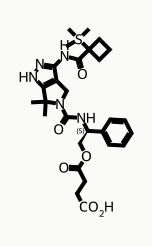 CC1(C)c2[nH]nc(NC(=O)C3(S(C)(C)C)CCC3)c2CN1C(=O)N[C@H](COC(=O)CCC(=O)O)c1ccccc1